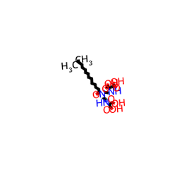 CC(C)CCCCCCCCCCCC(=O)N(CCNC(C(=O)O)C(=O)O)CCNC(C(=O)O)C(=O)O